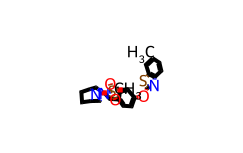 Cc1ccc2nc(Oc3ccc(CCN4C5CCC4CN(S(C)(=O)=O)C5)cc3)sc2c1